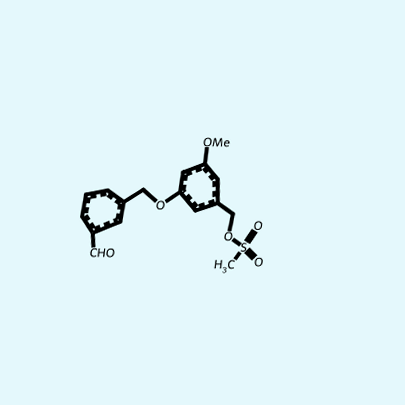 COc1cc(COS(C)(=O)=O)cc(OCc2cccc(C=O)c2)c1